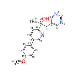 CC(C)(C)C(O)(Cc1cncnc1)c1ccc(-c2ccc(OC(F)(F)F)cc2)cn1